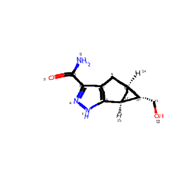 NC(=O)c1n[nH]c2c1C[C@H]1[C@H](CO)[C@@H]21